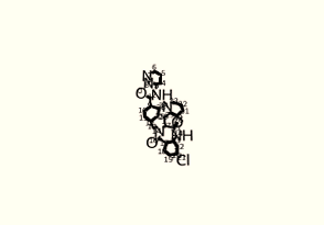 O=C(Nc1cccnn1)c1ccc(CN2C(=O)c3ccc(Cl)cc3NC(=O)C2Cc2ccccn2)cc1